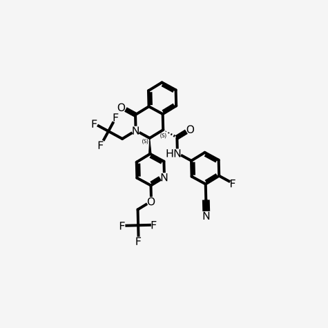 N#Cc1cc(NC(=O)[C@H]2c3ccccc3C(=O)N(CC(F)(F)F)[C@@H]2c2ccc(OCC(F)(F)F)nc2)ccc1F